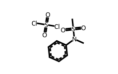 CN(c1ccccc1)S(C)(=O)=O.O=S(=O)(Cl)Cl